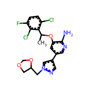 CC(Oc1cc(-c2cnn(CC3COCO3)c2)cnc1N)c1c(Cl)ccc(F)c1Cl